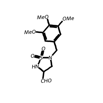 COc1cc(CN2CC(C=O)NS2(=O)=O)cc(OC)c1OC